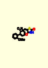 COc1ccccc1C1=CC=CC(C=C2SC(=O)NC2=O)([N+](=O)[O-])C1